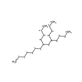 CCCCCCCC([CH]C(CCCC)CCCC)CCCC